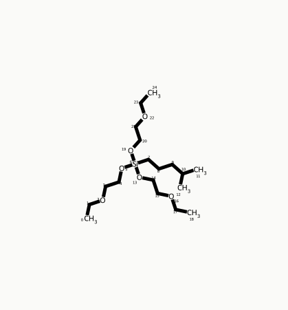 CCOCCO[Si](CCCC(C)C)(OCCOCC)OCCOCC